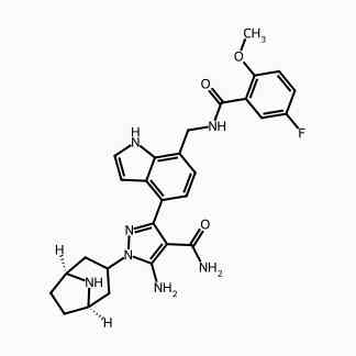 COc1ccc(F)cc1C(=O)NCc1ccc(-c2nn(C3C[C@H]4CC[C@@H](C3)N4)c(N)c2C(N)=O)c2cc[nH]c12